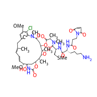 COc1cc2cc(c1Cl)N(C)C(=O)CC(OC(=O)[C@H](C)N(C)C(=O)[C@H](CSC)NC(=O)[C@@H](CCCCN)NC(=O)CCN1C(=O)C=CC1=O)C1(C)OC1C(C)C1CC(O)(NC(=O)O1)C(OC)/C=C/C=C(\C)C2